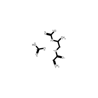 C=CC(=O)OCC(C)OC(=O)Cl.O=C(O)Cl